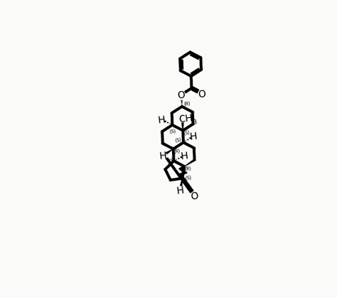 C[C@]12CC[C@@H](OC(=O)c3ccccc3)C[C@@H]1CC[C@@H]1[C@@H]2CC[C@]23CCC(=O)[C@H]2CC[C@@H]13